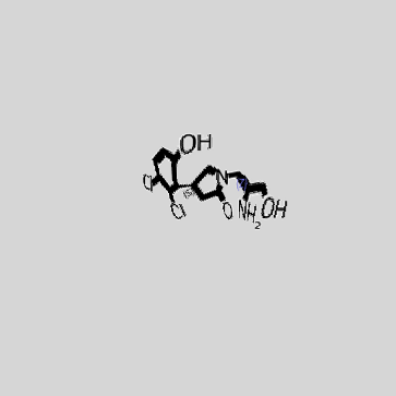 N/C(=C\N1C[C@H](c2c(O)ccc(Cl)c2Cl)CC1=O)CO